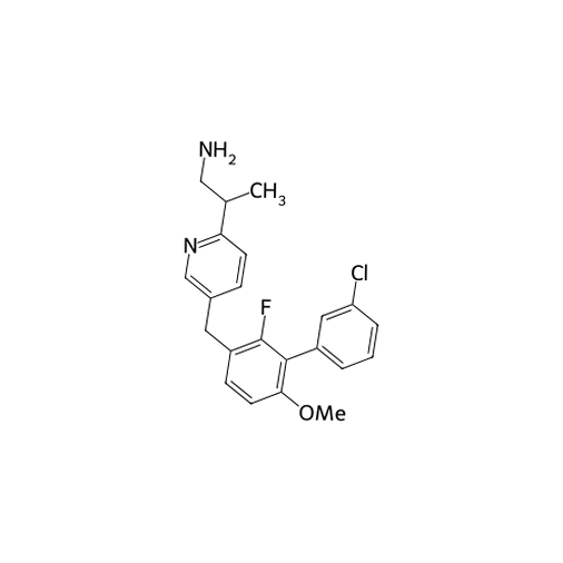 COc1ccc(Cc2ccc(C(C)CN)nc2)c(F)c1-c1cccc(Cl)c1